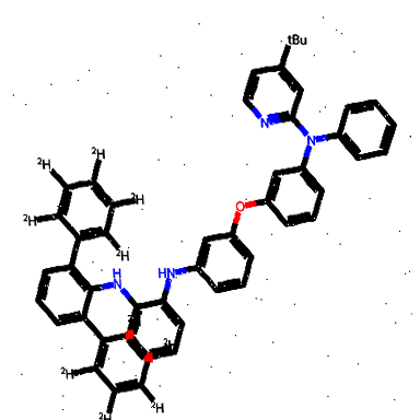 [2H]c1c([2H])c([2H])c(-c2cccc(-c3c([2H])c([2H])c([2H])c([2H])c3[2H])c2Nc2ccccc2Nc2cccc(Oc3cccc(N(c4ccccc4)c4cc(C(C)(C)C)ccn4)c3)c2)c([2H])c1[2H]